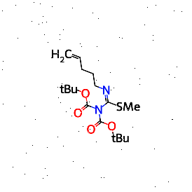 C=CCCCN=C(SC)N(C(=O)OC(C)(C)C)C(=O)OC(C)(C)C